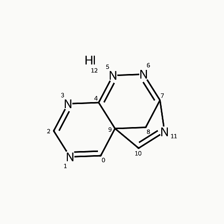 C1=NC=NC2=NN=C3CC12C=N3.I